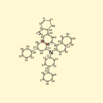 C1=Cc2sc3ccc(-c4c(N(c5ccc(-c6ccccc6)cc5)c5cccc(-c6ccccc6)c5)ccc5ccccc45)cc3c2CC1